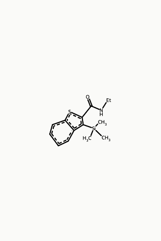 CCNC(=O)c1sc2ccccc2c1[Si](C)(C)C